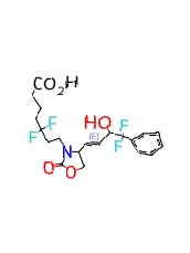 O=C(O)CCCC(F)(F)CCN1C(=O)OCC1/C=C/C(O)C(F)(F)c1ccccc1